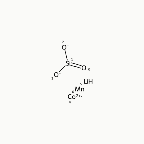 O=[Si]([O-])[O-].[Co+2].[LiH].[Mn]